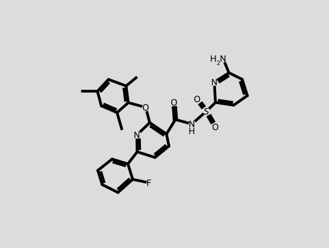 Cc1cc(C)c(Oc2nc(-c3ccccc3F)ccc2C(=O)NS(=O)(=O)c2cccc(N)n2)c(C)c1